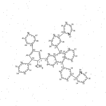 CC1C(c2ccc3c(-c4cccc(-c5ccccn5)c4)c4ccccc4c(-c4cccc(-c5ccccn5)c4)c3c2)=CC(c2ccccc2)=CC1c1ccccc1